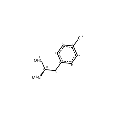 CN[C@@H](C=O)Cc1ccc(Cl)cc1